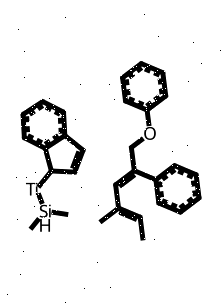 CC=C(C)C=C(COc1ccccc1)c1ccccc1.C[SiH](C)[Ti][CH]1C=Cc2ccccc21